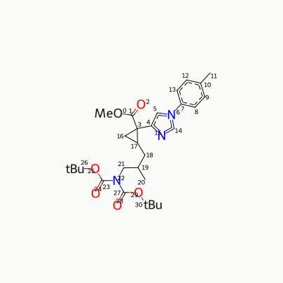 COC(=O)C1(c2cn(-c3ccc(C)cc3)cn2)CC1CC(C)CN(C(=O)OC(C)(C)C)C(=O)OC(C)(C)C